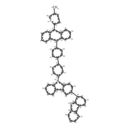 Cc1ccc(-c2c3ccccc3c(-c3ccc(-c4ccc(-n5c6ccccc6c6cc(-c7cccc8c7sc7ccccc78)ccc65)cc4)cc3)c3ccccc23)cc1